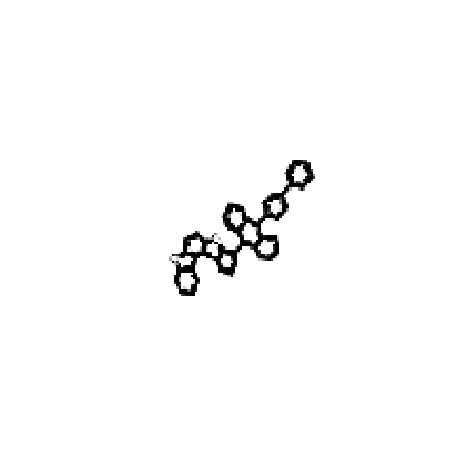 c1ccc(-c2ccc(-c3c4ccccc4c(-c4cccc5c4oc4ccc6oc7ccccc7c6c45)c4ccccc34)cc2)cc1